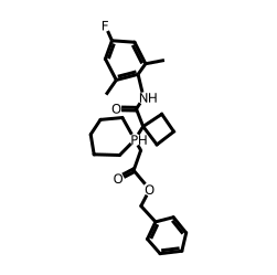 Cc1cc(F)cc(C)c1NC(=O)C1([PH]2(CC(=O)OCc3ccccc3)CCCCC2)CCC1